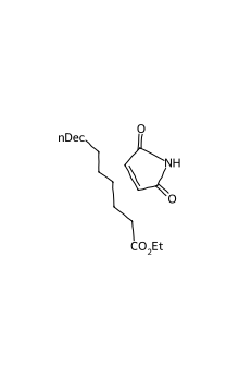 CCCCCCCCCCCCCCCC(=O)OCC.O=C1C=CC(=O)N1